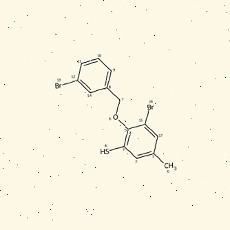 Cc1cc(S)c(OCc2cccc(Br)c2)c(Br)c1